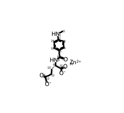 CNc1ccc(C(=O)N[C@@H](CCC(=O)[O-])C(=O)[O-])cc1.[Zn+2]